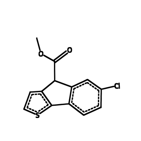 COC(=O)C1c2cc(Cl)ccc2-c2sccc21